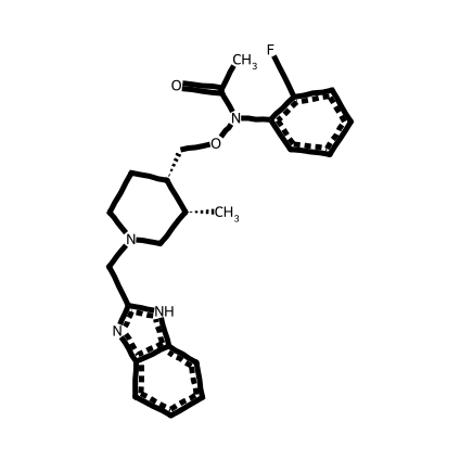 CC(=O)N(OC[C@H]1CCN(Cc2nc3ccccc3[nH]2)C[C@H]1C)c1ccccc1F